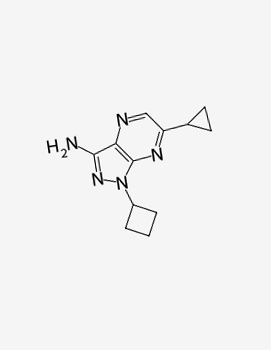 Nc1nn(C2CCC2)c2nc(C3CC3)cnc12